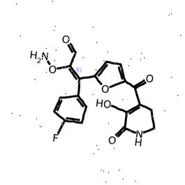 NO/C(C=O)=C(\c1ccc(F)cc1)c1ccc(C(=O)C2=C(O)C(=O)NCC2)o1